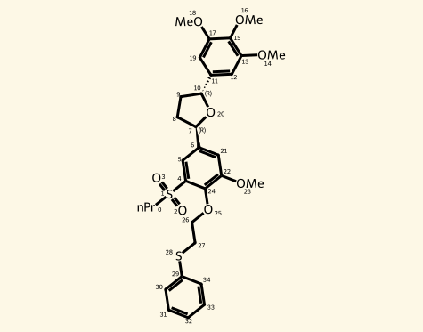 CCCS(=O)(=O)c1cc([C@H]2CC[C@H](c3cc(OC)c(OC)c(OC)c3)O2)cc(OC)c1OCCSc1ccccc1